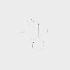 CCC(OC)(C(N)=O)c1ccccn1